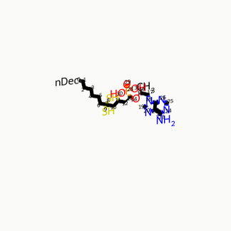 CCCCCCCCCCCCCCCCC(S)(S)CCC[C@H](O[C@H](C)Cn1cnc2c(N)ncnc21)P(=O)(O)O